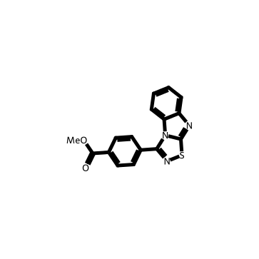 COC(=O)c1ccc(-c2nsc3nc4ccccc4n23)cc1